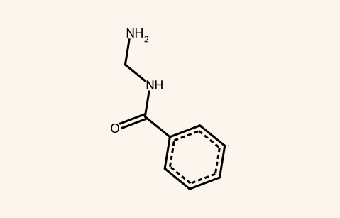 NCNC(=O)c1c[c]ccc1